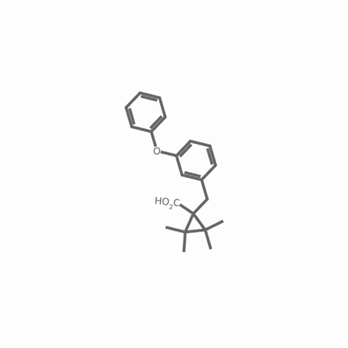 CC1(C)C(C)(C)C1(Cc1cccc(Oc2ccccc2)c1)C(=O)O